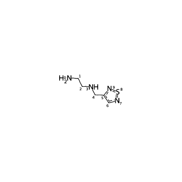 NCCNCc1cnsn1